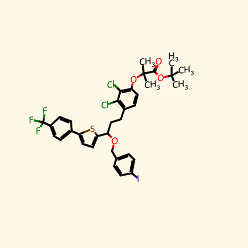 CC(C)(C)OC(=O)C(C)(C)Oc1ccc(CCC(OCc2ccc(I)cc2)c2ccc(-c3ccc(C(F)(F)F)cc3)s2)c(Cl)c1Cl